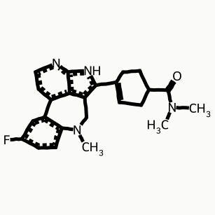 CN(C)C(=O)C1CC=C(c2[nH]c3nccc4c3c2CN(C)c2ccc(F)cc2-4)CC1